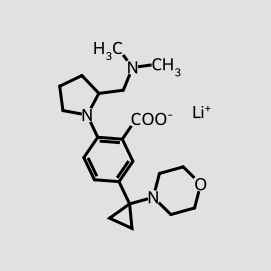 CN(C)CC1CCCN1c1ccc(C2(N3CCOCC3)CC2)cc1C(=O)[O-].[Li+]